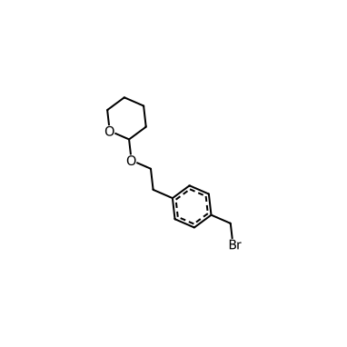 BrCc1ccc(CCOC2CCCCO2)cc1